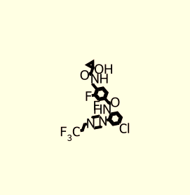 O=C(Nc1ccc(Cl)cc1N1CCN(CCC(F)(F)F)CC1)c1ccc(CNC(=O)C2(O)CC2)c(F)c1F